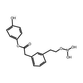 O=C(Cc1cccc(CCON(O)O)c1)Oc1ccc(O)cc1